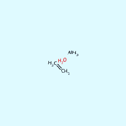 C=C.O.[AlH3]